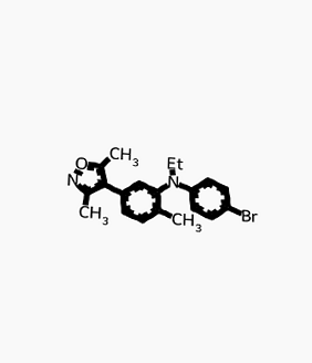 CCN(c1ccc(Br)cc1)c1cc(-c2c(C)noc2C)ccc1C